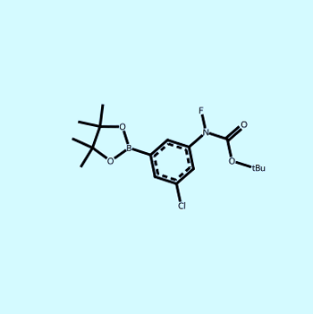 CC(C)(C)OC(=O)N(F)c1cc(Cl)cc(B2OC(C)(C)C(C)(C)O2)c1